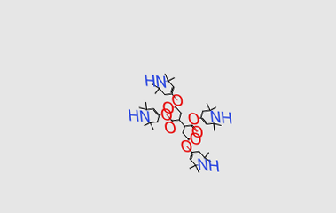 CC1(C)C=C(OC(=O)CC(C(=O)OC2=CC(C)(C)NC(C)(C)C2)C(CC(=O)OC2=CC(C)(C)NC(C)(C)C2)C(=O)OC2=CC(C)(C)NC(C)(C)C2)CC(C)(C)N1